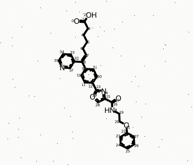 O=C(O)CCCCC=C(c1ccc(-c2nc(C(=O)NCCOc3ccccc3)co2)cc1)c1cccnc1